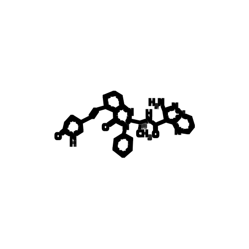 C[C@@H](NC(=O)c1c(N)nn2cccnc12)c1nc2cccc(C#Cc3ccc(=O)[nH]c3)c2c(=O)n1-c1ccccc1